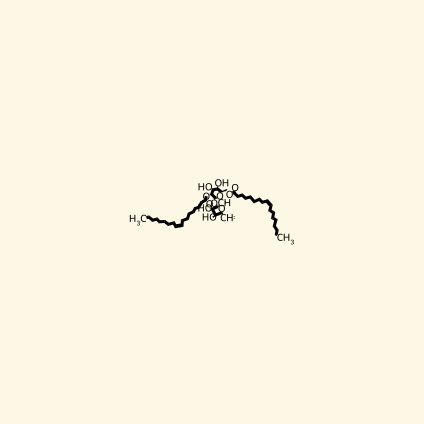 [CH][C@H]1O[C@@]([CH])(O[C@H]2O[C@H](COC(=O)CCCCCCC/C=C\CCCCCCCC)[C@@H](O)[C@H](O)[C@H]2OC(=O)CCCCCCC/C=C\CCCCCCCC)[C@@H](O)[C@@H]1O